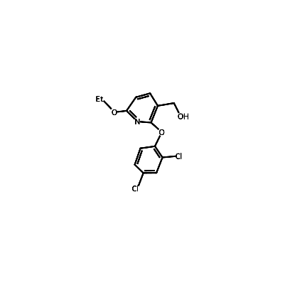 CCOc1ccc(CO)c(Oc2ccc(Cl)cc2Cl)n1